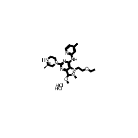 CCOCCN1c2c(Nc3cc(C)ccn3)nc(N3CCN[C@H](C)C3)nc2C(OC)N1C.Cl.Cl